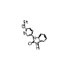 CCOc1ccc(-n2c(=O)[nH]c3ccccc32)cn1